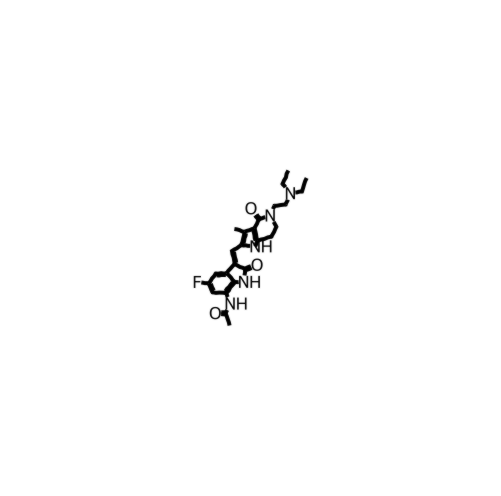 CCN(CC)CCN1CCc2[nH]c(C=C3C(=O)Nc4c(NC(C)=O)cc(F)cc43)c(C)c2C1=O